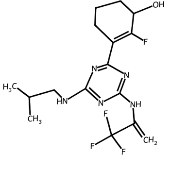 C=C(Nc1nc(NCC(C)C)nc(C2=C(F)C(O)CCC2)n1)C(F)(F)F